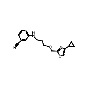 N#Cc1cccc(NCCCOCc2nc(C3CC3)no2)c1